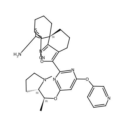 C[C@H](Oc1cc(Oc2cccnc2)nc(-c2onc3c2CCC[C@@]32CCCc3sc(N)c(C#N)c32)n1)[C@@H]1CCCN1C